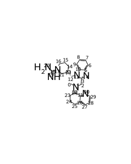 CN(Cc1nc2ccccc2n1C[C@H]1CCCN(C(=N)N)C1)[C@H]1CCCc2cccnc21